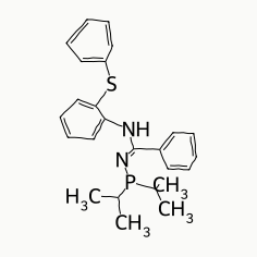 CC(C)P(N=C(Nc1ccccc1Sc1ccccc1)c1ccccc1)C(C)C